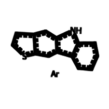 [Ar].c1ccc2c(c1)[nH]c1cc3ccsc3cc12